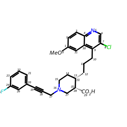 COc1ccc2ncc(Cl)c(CCC[C@H]3CCN(CC#Cc4cccc(F)c4)C[C@H]3C(=O)O)c2c1